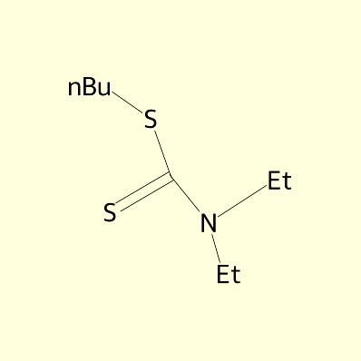 CCCCSC(=S)N(CC)CC